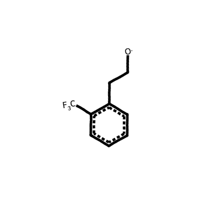 [O]CCc1ccccc1C(F)(F)F